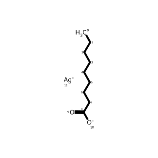 CCCCCCCCC(=O)[O-].[Ag+]